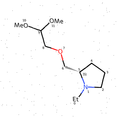 CCN1CCC[C@H]1COCC(OC)OC